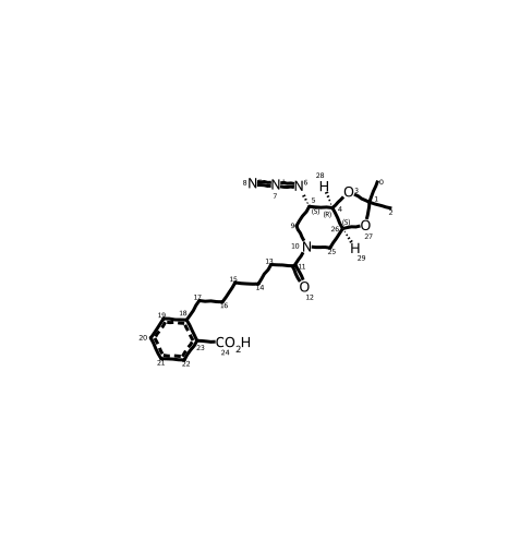 CC1(C)O[C@@H]2[C@@H](N=[N+]=[N-])CN(C(=O)CCCCCc3ccccc3C(=O)O)C[C@@H]2O1